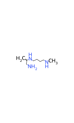 C=C(CN)NCCCCNC